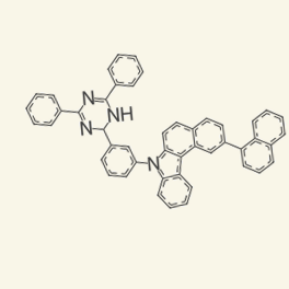 c1ccc(C2=NC(c3cccc(-n4c5ccccc5c5c6cc(-c7cccc8ccccc78)ccc6ccc54)c3)NC(c3ccccc3)=N2)cc1